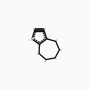 c1sc2c(c#1)CCCCC2